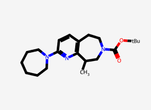 CC1CN(C(=O)OC(C)(C)C)CCc2ccc(N3CCCCCC3)nc21